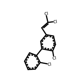 ClC(Cl)=Cc1ccc(Cl)c(-c2ccccc2Cl)c1